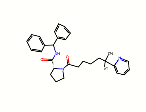 CC(C)C(C#N)(CCCCC(=O)N1CCC[C@@H]1C(=O)NC(c1ccccc1)c1ccccc1)c1ccccn1